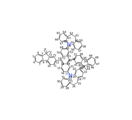 CC1(C)c2ccccc2-c2ccc(-c3c4ccc(N5c6ccccc6CCc6ccccc65)cc4c(-c4ccc5c(c4)C(C)(C)c4ccccc4-5)c4cc(N5c6ccccc6CCc6ccccc65)ccc34)cc21